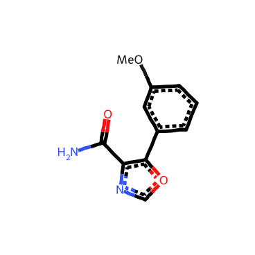 COc1cccc(-c2ocnc2C(N)=O)c1